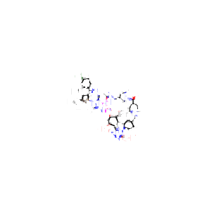 CC(=N)N1C(=N)[C@H](CC(=O)NCC2CCN(C(=O)C3CCN(Cc4ccc(-n5c(O)nnc5-c5cc(C(C)C)c(O)cc5O)cc4)CC3)C2)N=C(c2ccc(Cl)cc2)c2c1sc(C)c2C